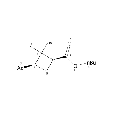 CCCCOC(=O)[C@H]1C[C@@H](C(C)=O)C1(C)C